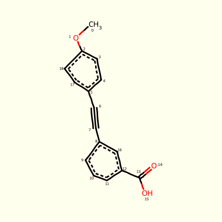 COc1ccc(C#Cc2cccc(C(=O)O)c2)cc1